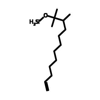 C=CCCCCCCCC(C)C(C)(C)O[SiH3]